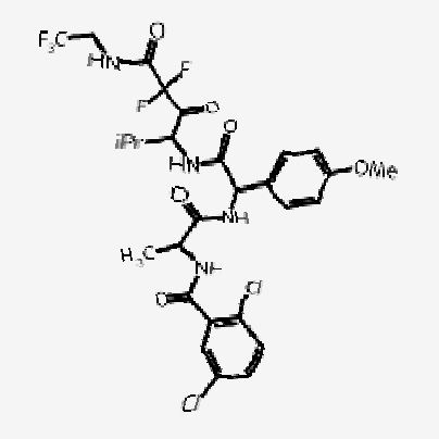 COc1ccc(C(NC(=O)C(C)NC(=O)c2cc(Cl)ccc2Cl)C(=O)NC(C(=O)C(F)(F)C(=O)NCC(F)(F)F)C(C)C)cc1